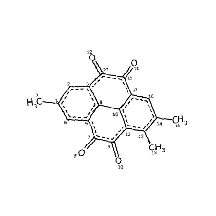 Cc1cc2c3c(c1)c(=O)c(=O)c1c(C)c(C)cc(c1-3)c(=O)c2=O